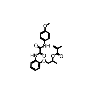 C=C(C)C(=O)OC(C)COc1ccccc1NC(=O)C(=O)Nc1ccc(OC)cc1